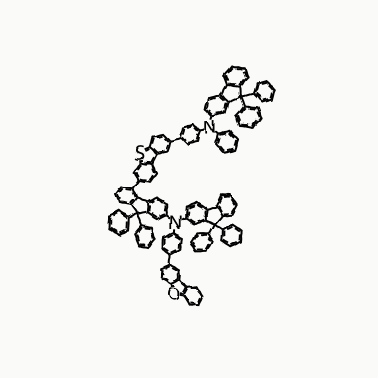 c1ccc(N(c2ccc(-c3ccc4sc5cc(-c6cccc7c6-c6ccc(N(c8ccc(-c9ccc%10oc%11ccccc%11c%10c9)cc8)c8ccc9c(c8)C(c8ccccc8)(c8ccccc8)c8ccccc8-9)cc6C7(c6ccccc6)c6ccccc6)ccc5c4c3)cc2)c2ccc3c(c2)C(c2ccccc2)(c2ccccc2)c2ccccc2-3)cc1